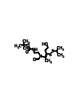 CC(=C(CCO)SSC(C)C)N(C=O)CCNC(=O)OC(C)(C)C